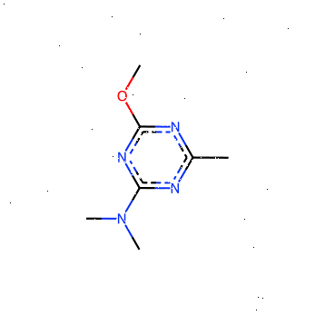 COc1nc(C)nc(N(C)C)n1